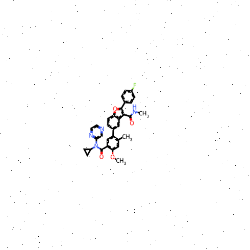 CNC(=O)c1c(-c2ccc(F)cc2)oc2ccc(-c3cc(C(=O)N(c4cnccn4)C4CC4)c(OC)cc3C)cc12